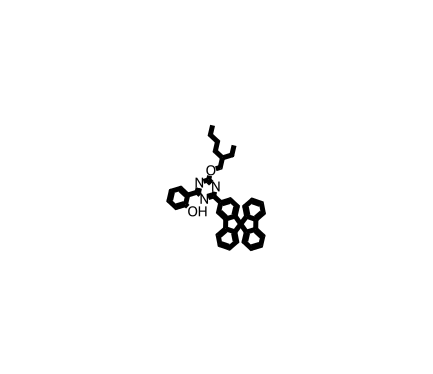 CCCCC(CC)COc1nc(-c2ccc3c(c2)-c2ccccc2C32c3ccccc3-c3ccccc32)nc(-c2ccccc2O)n1